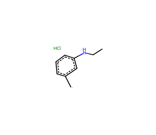 Cl.[CH2]c1cccc(NCC)c1